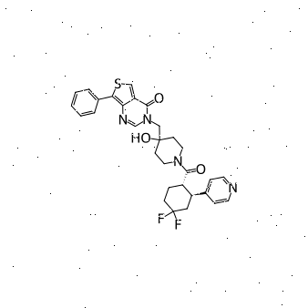 O=C([C@H]1CCC(F)(F)C[C@@H]1c1ccncc1)N1CCC(O)(Cn2cnc3c(-c4ccccc4)scc3c2=O)CC1